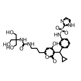 O=C(NCCCc1cc(O)c(C(c2cccc(NS(=O)(=O)c3ncc[nH]3)c2)C2CC2)c(=O)o1)NC(CO)(CO)CO